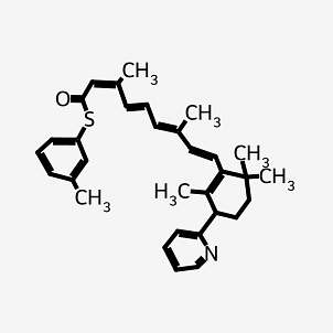 CC1=C(/C=C/C(C)=C/C=C/C(C)=C\C(=O)Sc2cccc(C)c2)C(C)(C)CCC1c1ccccn1